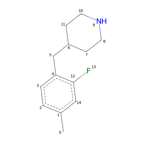 Cc1ccc(CC2CCNCC2)c(F)c1